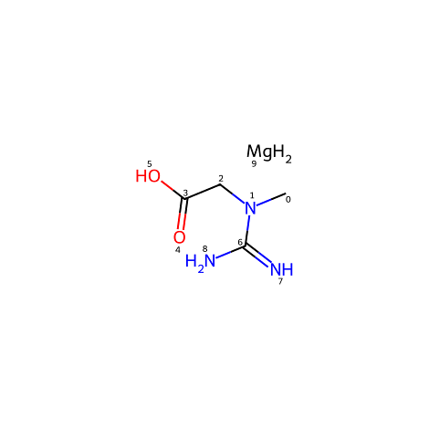 CN(CC(=O)O)C(=N)N.[MgH2]